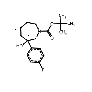 CC(C)(C)OC(=O)N1CCCCC(O)(c2ccc(F)cc2)C1